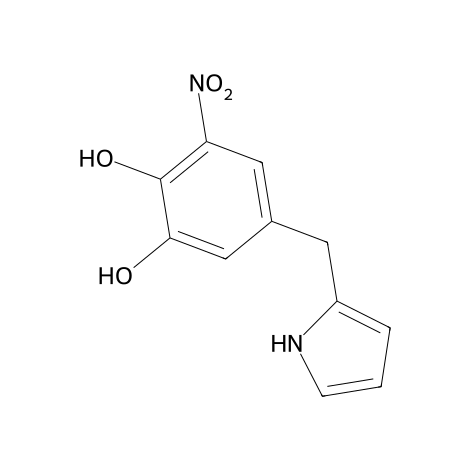 O=[N+]([O-])c1cc(Cc2ccc[nH]2)cc(O)c1O